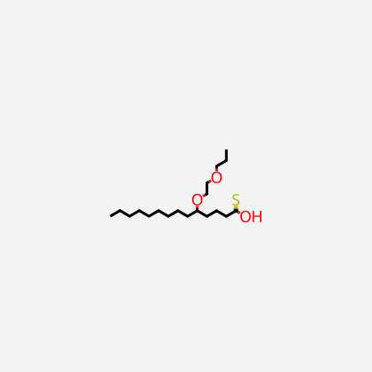 CCCCCCCCCC(CCCC(O)=S)OCCOCCC